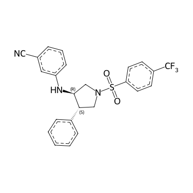 N#Cc1cccc(N[C@H]2CN(S(=O)(=O)c3ccc(C(F)(F)F)cc3)C[C@@H]2c2ccccc2)c1